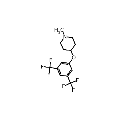 CN1CCC(Oc2cc(C(F)(F)F)cc(C(F)(F)F)c2)CC1